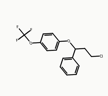 FC(F)(F)Oc1ccc(OC(CCCl)c2ccccc2)cc1